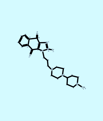 CN1CCC(N2CCN(CCCn3c4c(n[n+]3[O-])C(=O)c3ccccc3C4=O)CC2)CC1